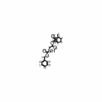 CC12CCC(C(OC(=O)CNC(=O)OCc3ccccc3)C1=O)C2(C)C